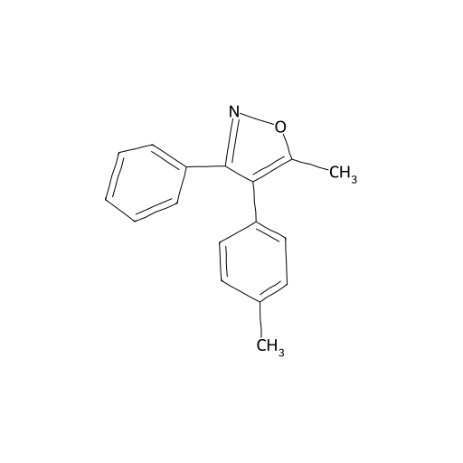 Cc1ccc(-c2c(-c3ccccc3)noc2C)cc1